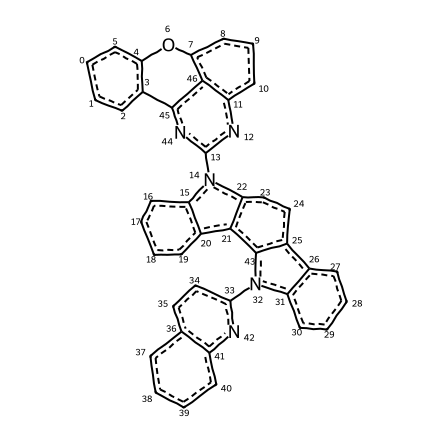 c1ccc2c(c1)Oc1cccc3nc(-n4c5ccccc5c5c4ccc4c6ccccc6n(-c6ccc7ccccc7n6)c45)nc-2c13